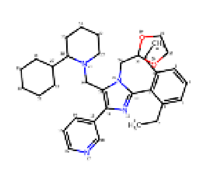 CCc1cccc(CC)c1-c1nc(-c2cccnc2)c(CN2CCCCC2C2CCCCC2)n1CC1OCCO1